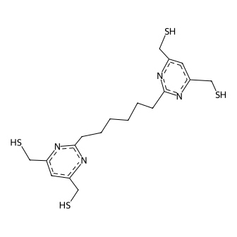 SCc1cc(CS)nc(CCCCCCc2nc(CS)cc(CS)n2)n1